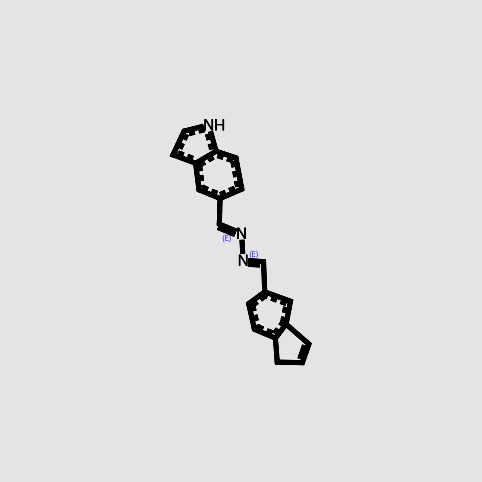 C1=Cc2cc(/C=N/N=C/c3ccc4[nH]ccc4c3)ccc2C1